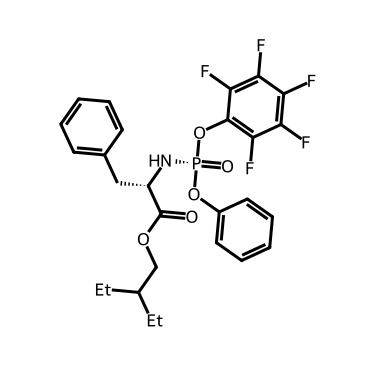 CCC(CC)COC(=O)[C@H](Cc1ccccc1)N[P@](=O)(Oc1ccccc1)Oc1c(F)c(F)c(F)c(F)c1F